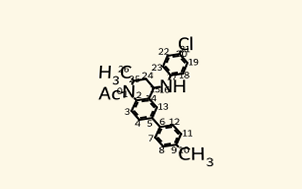 CC(=O)N1c2ccc(-c3ccc(C)cc3)cc2C(Nc2ccc(Cl)cc2)CC1C